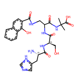 CC(C)(NC(=O)C(CNC(=O)c1ccc2ccccc2c1O)NC(=O)[C@@H](CO)NC(=O)[C@@H](N)Cc1cnc[nH]1)C(=O)O